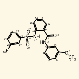 O=C(Nc1cccc(OC(F)(F)F)c1)c1ccccc1NS(=O)(=O)c1cccc(F)c1